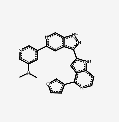 CN(C)c1cncc(-c2cc3c(-c4cc5c(-c6ccoc6)nccc5[nH]4)n[nH]c3cn2)c1